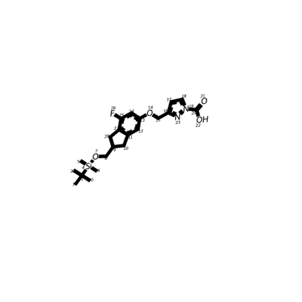 CC(C)(C)[Si](C)(C)OCC1Cc2cc(OCc3ccn(C(=O)O)n3)cc(F)c2C1